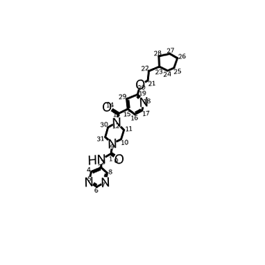 O=C(Nc1cncnc1)N1CCN(C(=O)c2ccnc(OCCC3CCCCC3)c2)CC1